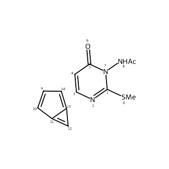 CSc1nccc(=O)n1NC(C)=O.c1cc2cc-2c1